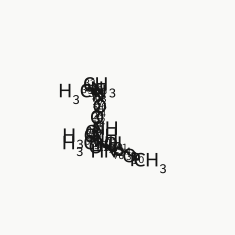 C/P=C/OCc1ccc(NC(=O)CNC(=O)C(NC(=O)NCCOCCOCCn2cc(C(C)C)nn2)C(C)C)cc1